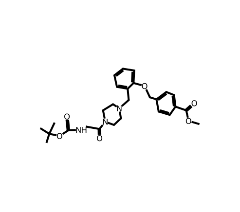 COC(=O)c1ccc(COc2ccccc2CN2CCN(C(=O)CNC(=O)OC(C)(C)C)CC2)cc1